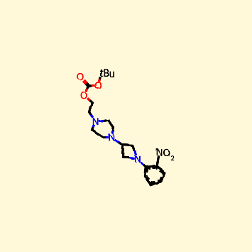 CC(C)(C)OC(=O)OCCN1CCN(C2CN(c3ccccc3[N+](=O)[O-])C2)CC1